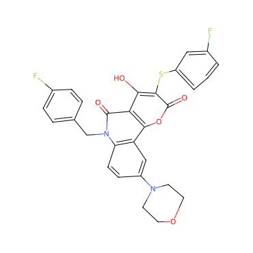 O=c1oc2c(c(O)c1Sc1cccc(F)c1)c(=O)n(Cc1ccc(F)cc1)c1ccc(N3CCOCC3)cc21